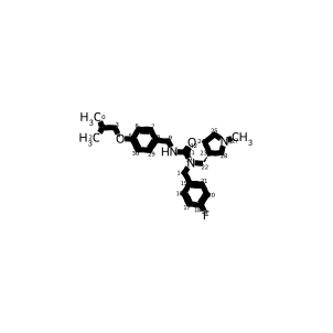 CC(C)COc1ccc(CNC(=O)N(Cc2ccc(F)cc2)C[C@@H]2CCN(C)C2)cc1